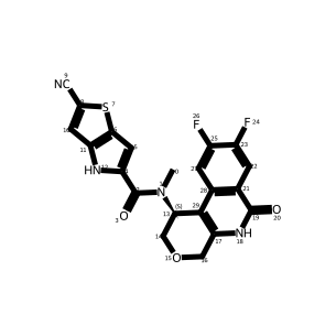 CN(C(=O)c1cc2sc(C#N)cc2[nH]1)[C@@H]1COCc2[nH]c(=O)c3cc(F)c(F)cc3c21